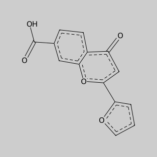 O=C(O)c1ccc2c(=O)cc(-c3ccco3)oc2c1